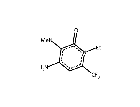 CCn1c(C(F)(F)F)cc(N)c(NC)c1=O